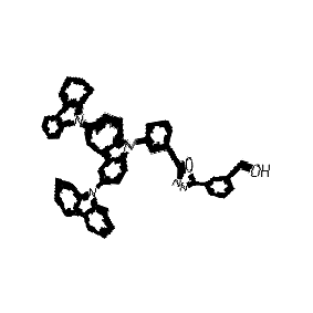 OCc1cccc(-c2nnc(-c3cccc(-n4c5ccc(-n6c7ccccc7c7ccccc76)cc5c5cc(-n6c7ccccc7c7ccccc76)ccc54)c3)o2)c1